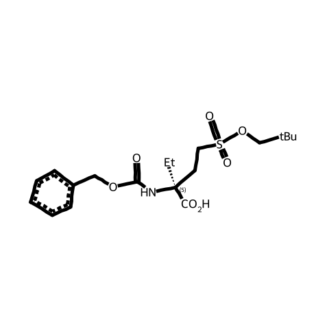 CC[C@@](CCS(=O)(=O)OCC(C)(C)C)(NC(=O)OCc1ccccc1)C(=O)O